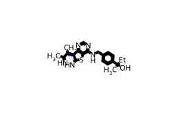 CCC(C)(O)c1ccc(CNc2ncnc3c2SC(=N)/C3=C(/C)C(C)=N)cc1